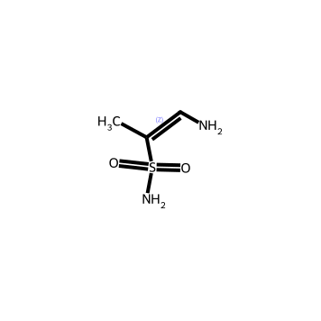 C/C(=C/N)S(N)(=O)=O